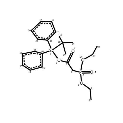 CCOP(=O)(CC(=O)O[Si](c1ccccc1)(c1ccccc1)C(C)(C)C)OCC